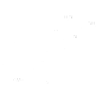 COc1cccc(C)c1-c1csc2ccc(C(=O)N=C(N)N)cc12